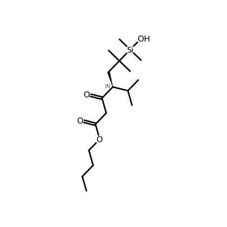 CCCCOC(=O)CC(=O)[C@@H](CC(C)(C)[Si](C)(C)O)C(C)C